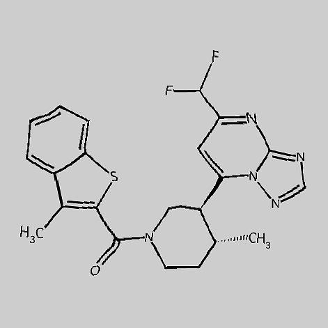 Cc1c(C(=O)N2CC[C@@H](C)[C@H](c3cc(C(F)F)nc4ncnn34)C2)sc2ccccc12